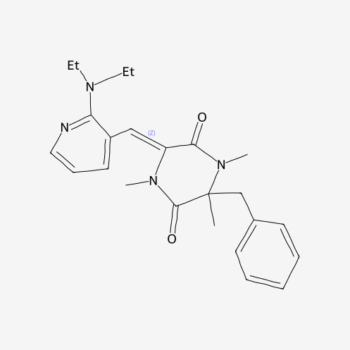 CCN(CC)c1ncccc1/C=C1/C(=O)N(C)C(C)(Cc2ccccc2)C(=O)N1C